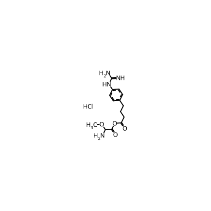 COC(N)C(=O)OC(=O)CCCc1ccc(NC(=N)N)cc1.Cl